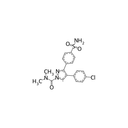 CN(C)C(=O)n1[c]c(-c2ccc(Cl)cc2)c(-c2ccc(S(N)(=O)=O)cc2)n1